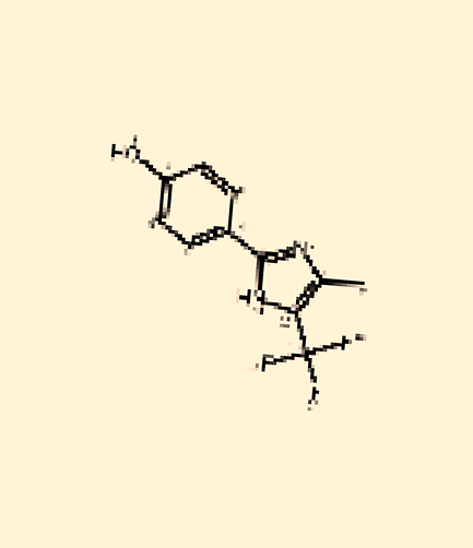 Cc1nc(-c2ccc(O)cc2)[nH]c1C(F)(F)F